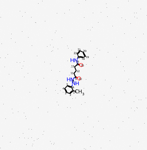 Cc1ccccc1NNC(=O)CCCC(=O)Nc1ccccc1